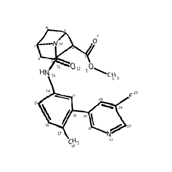 COC(=O)C1CCC2CC1N2C(=O)Nc1ccc(C)c(-c2cncc(F)c2)c1